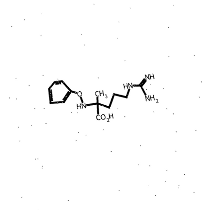 CC(CCCNC(=N)N)(NOc1ccccc1)C(=O)O